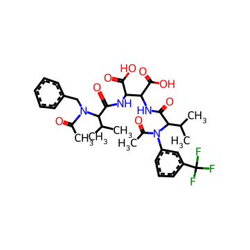 CC(=O)N(Cc1ccccc1)C(C(=O)NC(C(=O)O)C(NC(=O)C(C(C)C)N(C(C)=O)c1cccc(C(F)(F)F)c1)C(=O)O)C(C)C